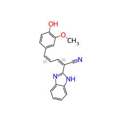 COc1cc(/C=C\C=C(\C#N)c2nc3ccccc3[nH]2)ccc1O